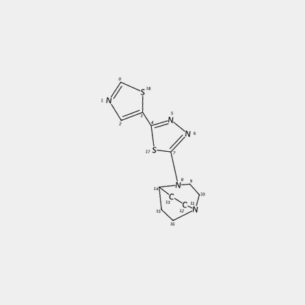 c1ncc(-c2nnc(N3CCN4CCC3CC4)s2)s1